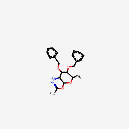 CC1OC(OC(=N)C(Cl)(Cl)Cl)C(N)C(OCc2ccccc2)C1OCc1ccccc1